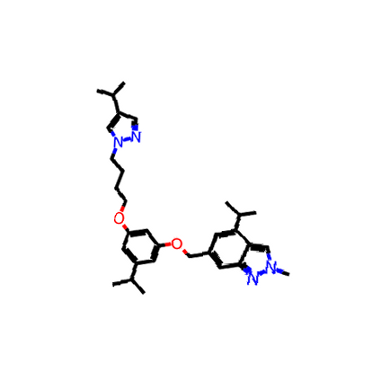 CC(C)c1cc(OCCCCn2cc(C(C)C)cn2)cc(OCc2cc(C(C)C)c3cn(C)nc3c2)c1